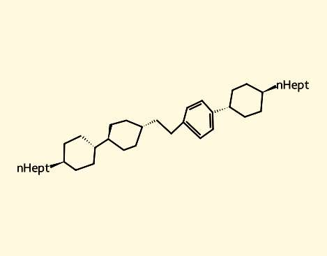 CCCCCCC[C@H]1CC[C@H](c2ccc(CC[C@H]3CC[C@H]([C@H]4CC[C@H](CCCCCCC)CC4)CC3)cc2)CC1